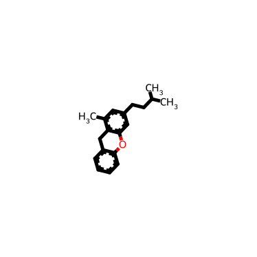 Cc1cc(CCC(C)C)cc2c1Cc1ccccc1O2